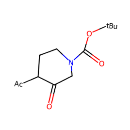 CC(=O)C1CCN(C(=O)OC(C)(C)C)CC1=O